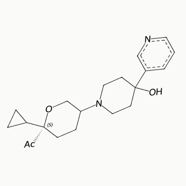 CC(=O)[C@@]1(C2CC2)CCC(N2CCC(O)(c3cccnc3)CC2)CO1